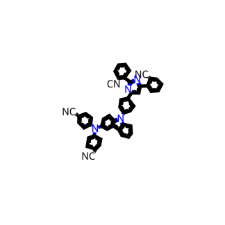 N#Cc1ccc(N(c2ccc(C#N)cc2)c2ccc3c(c2)c2ccccc2n3-c2ccc(-c3cc(-c4ccccc4C#N)nc(-c4ccccc4C#N)n3)cc2)cc1